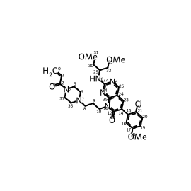 C=CC(=O)N1CCN(CCCn2c(=O)c(-c3cc(OC)ccc3Cl)cc3cnc(NC(COC)COC)nc32)CC1